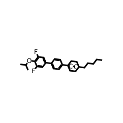 CCCCCC12CCC(c3ccc(-c4cc(F)c(OC(C)C)c(F)c4)cc3)(CC1)CC2